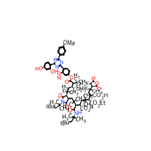 CCOC(=O)C(C(CC(C)(C)C1C(=O)OC(=O)C1C)C(=O)O)C(C)(C)CC(C(=O)O)C(C(=O)NC(C)(C)CC(C)(C)C)C(C)(C)CC1C(=O)N(C(C)(C)CC(C)(C)C)C(=O)C1C(C)(C)CC(C(=O)O)C(C(=O)Oc1ccc(-c2nc(-c3ccc(OC)cc3)nc(-c3ccc(O)cc3O)n2)c(O)c1)C(C)(C)CC